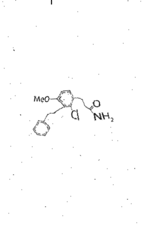 COc1ccc(CCC(N)=O)c(Cl)c1CCc1ccccc1